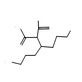 CCCCC(CCCC)C(C(=O)O)C(=O)O